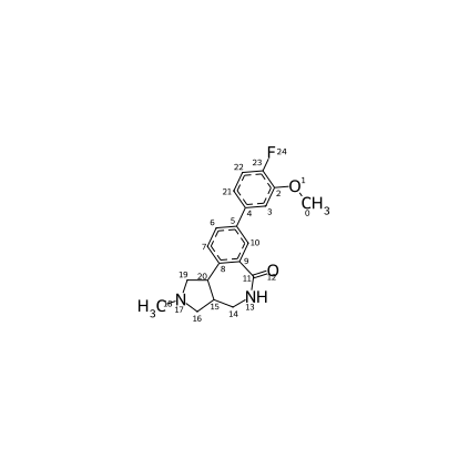 COc1cc(-c2ccc3c(c2)C(=O)NCC2CN(C)CC32)ccc1F